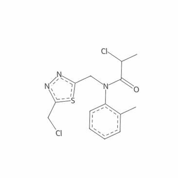 Cc1ccccc1N(Cc1nnc(CCl)s1)C(=O)C(C)Cl